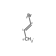 [CH2]C=CBr